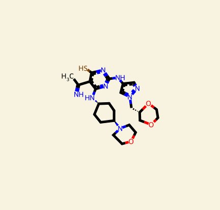 CC(=N)c1c(S)nc(Nc2cnn(C[C@H]3COCCO3)c2)nc1N[C@H]1CC[C@H](N2CCOCC2)CC1